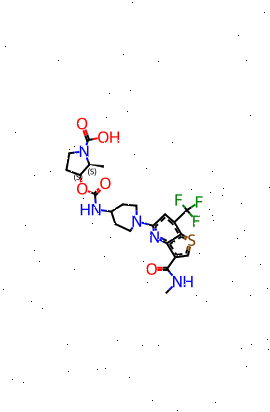 CNC(=O)c1csc2c(C(F)(F)F)cc(N3CCC(NC(=O)O[C@H]4CCN(C(=O)O)[C@H]4C)CC3)nc12